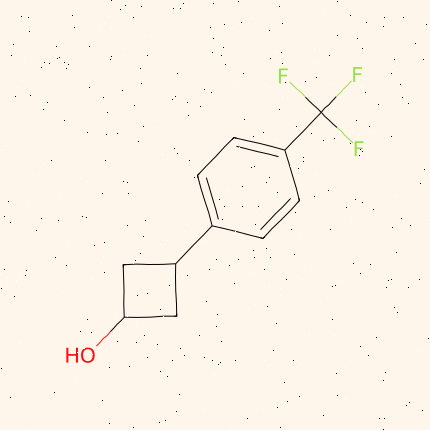 OC1CC(c2ccc(C(F)(F)F)cc2)C1